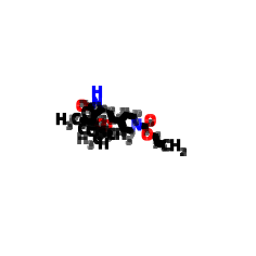 C=CCOC(=O)N1CC=C(C(=O)C[C@H]2NC(=O)[C@@H]2[C@@](C)(O[SiH](C)C)C(C)(C)C)CC1